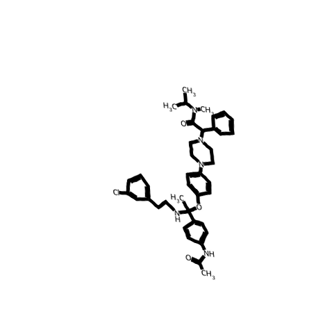 CC(=O)Nc1ccc(C(C)(NCCc2cccc(Cl)c2)Oc2ccc(N3CCN(C(C(=O)N(C)C(C)C)c4ccccc4)CC3)cc2)cc1